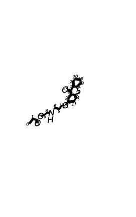 C=CC(=O)OCCNCCCOc1ccc2sc3ccccc3c(=O)c2c1